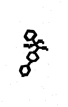 CC(N1CCN(c2ccncc2)CC1)C(C)(C(=O)O)c1ccccc1